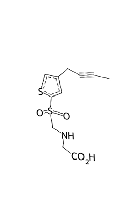 CC#CCc1csc(S(=O)(=O)CNCC(=O)O)c1